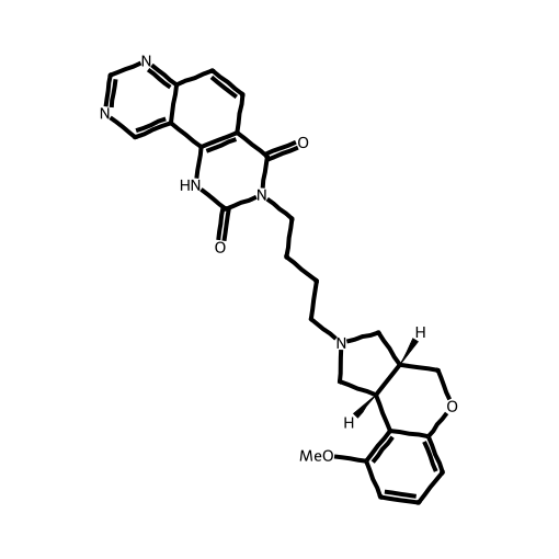 COc1cccc2c1[C@@H]1CN(CCCCn3c(=O)[nH]c4c(ccc5ncncc54)c3=O)C[C@@H]1CO2